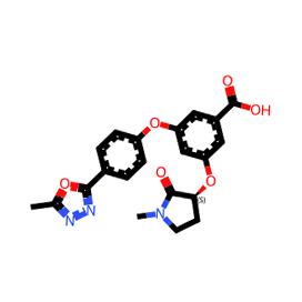 Cc1nnc(-c2ccc(Oc3cc(O[C@H]4CCN(C)C4=O)cc(C(=O)O)c3)cc2)o1